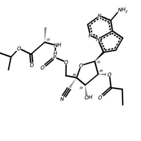 CCC(=O)O[C@H]1[C@H](c2ccc3c(N)ncnn23)O[C@](C#N)(CO[PH](=O)N[C@@H](C)C(=O)OC(C)C)[C@H]1O